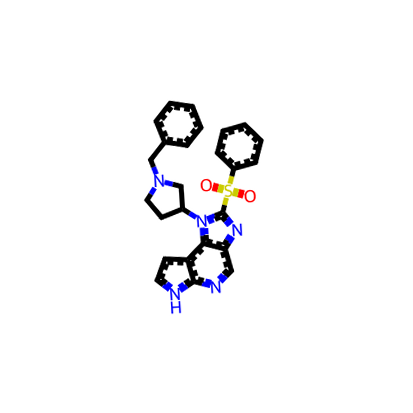 O=S(=O)(c1ccccc1)c1nc2cnc3[nH]ccc3c2n1C1CCN(Cc2ccccc2)C1